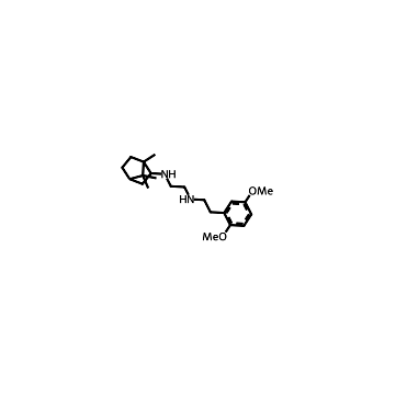 COc1ccc(OC)c(CCNCCNC2CC3CCC2(C)C3(C)C)c1